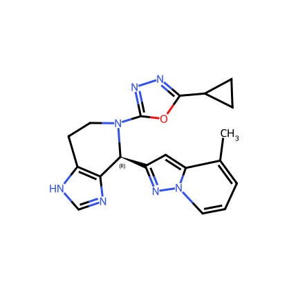 Cc1cccn2nc([C@H]3c4nc[nH]c4CCN3c3nnc(C4CC4)o3)cc12